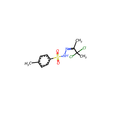 CC(=NNS(=O)(=O)c1ccc(C)cc1)C(C)(Cl)Cl